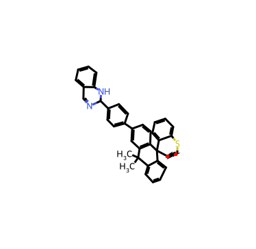 CC1(C)c2ccccc2C2(c3ccccc3Sc3ccccc32)c2ccc(-c3ccc(C4N=Cc5ccccc5N4)cc3)cc21